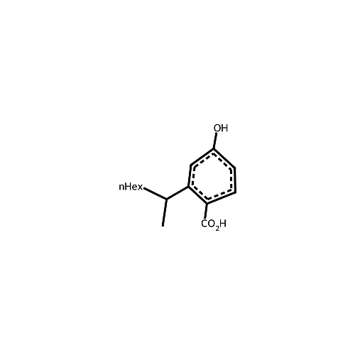 CCCCCCC(C)c1cc(O)ccc1C(=O)O